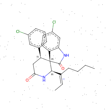 C/C=C(/CCCC)[C@H]1NC(=O)C[C@@H](c2cccc(Cl)c2)[C@]12C(=O)Nc1cc(Cl)ccc12